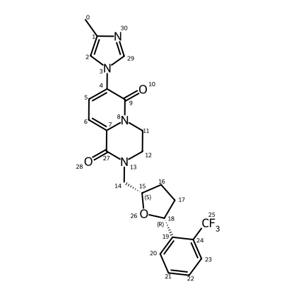 Cc1cn(-c2ccc3n(c2=O)CCN(C[C@@H]2CC[C@H](c4ccccc4C(F)(F)F)O2)C3=O)cn1